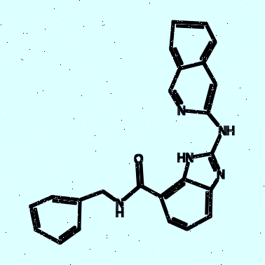 O=C(NCc1ccccc1)c1cccc2nc(Nc3cc4ccccc4cn3)[nH]c12